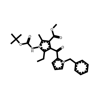 CCc1c(C(=O)c2cccn2Cc2ccccc2)c(C(=O)OC)c(C)n1NC(=O)OC(C)(C)C